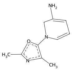 Cc1nc(C)c(N2C=CC=C(N)C2)o1